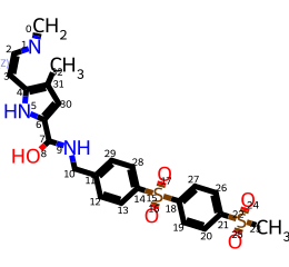 C=N/C=C\c1[nH]c(C(O)NCc2ccc(S(=O)(=O)c3ccc(S(C)(=O)=O)cc3)cc2)cc1C